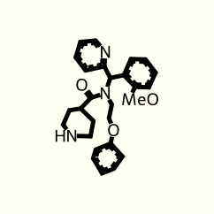 COc1ccccc1C(c1ccccn1)N(CCOc1ccccc1)C(=O)C1CCNCC1